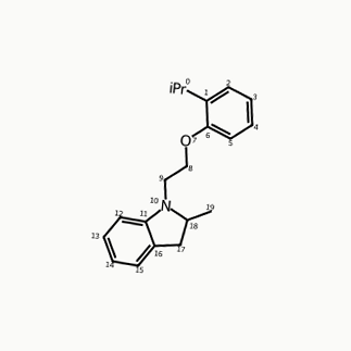 CC(C)c1ccccc1OCCN1c2ccccc2CC1C